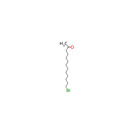 CC(=O)CCCCCCCCCCCBr